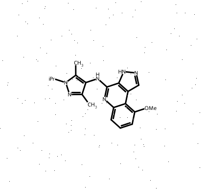 COc1cccc2nc(Nc3c(C)nn(C(C)C)c3C)c3[nH]ncc3c12